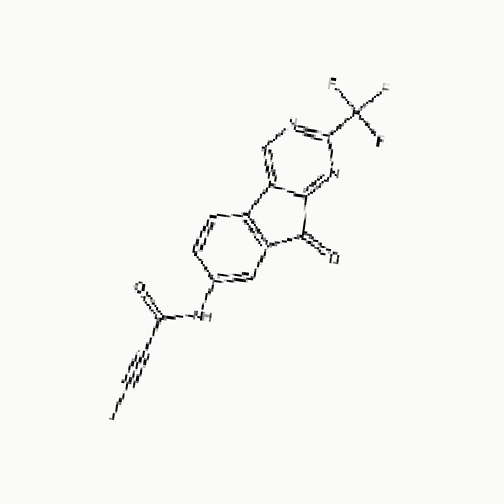 CC#CC(=O)Nc1ccc2c(c1)C(=O)c1nc(C(F)(F)F)ncc1-2